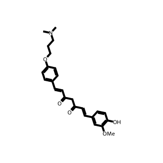 COc1cc(C=CC(=O)CC(=O)C=Cc2ccc(OCCCN(C)C)cc2)ccc1O